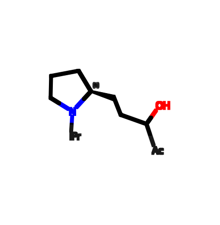 CC(=O)C(O)CC[C@@H]1CCCN1C(C)C